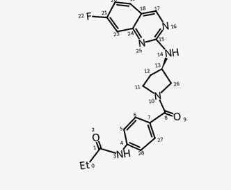 CCC(=O)Nc1ccc(C(=O)N2CC[C@@H](Nc3ncc4ccc(F)cc4n3)C2)cc1